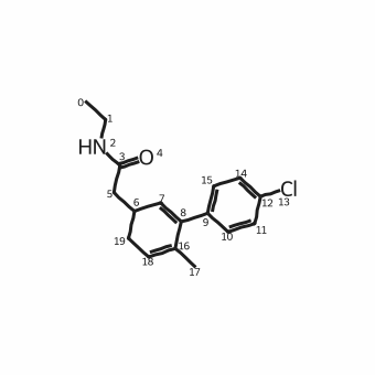 CCNC(=O)CC1C=C(c2ccc(Cl)cc2)C(C)=CC1